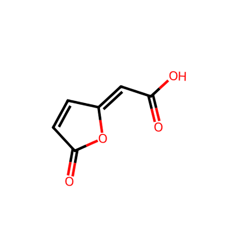 O=C(O)/C=C1/C=CC(=O)O1